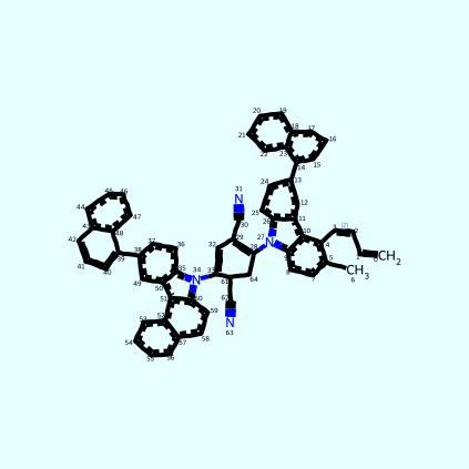 C=C/C=C\c1c(C)ccc2c1c1cc(-c3cccc4ccccc34)ccc1n2C1=C(C#N)C=C(n2c3ccc(C4=C=C=Cc5ccccc54)cc3c3c4ccccc4ccc32)C(C#N)C1